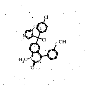 Cl.Cn1cncc1C(Cl)(c1ccc(Cl)cc1)c1ccc2c(c1)c(-c1cccc(Cl)c1)nc(=O)n2C